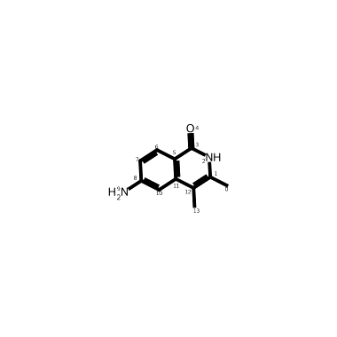 Cc1[nH]c(=O)c2ccc(N)cc2c1C